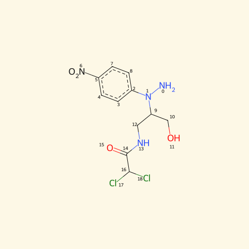 NN(c1ccc([N+](=O)[O-])cc1)C(CO)CNC(=O)C(Cl)Cl